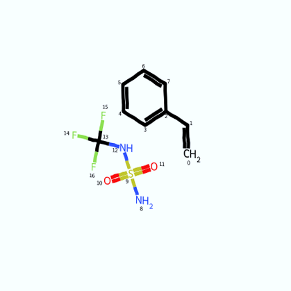 C=Cc1ccccc1.NS(=O)(=O)NC(F)(F)F